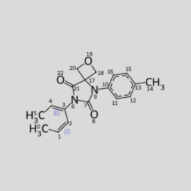 C/C=C\C(=C/C)N1C(=O)N(c2ccc(C)cc2)C2(COC2)C1=O